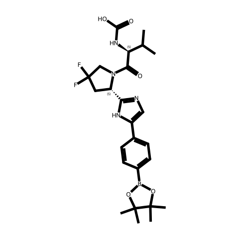 CC(C)[C@H](NC(=O)O)C(=O)N1CC(F)(F)C[C@H]1c1ncc(-c2ccc(B3OC(C)(C)C(C)(C)O3)cc2)[nH]1